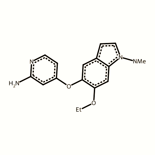 CCOc1cc2c(ccn2NC)cc1Oc1ccnc(N)c1